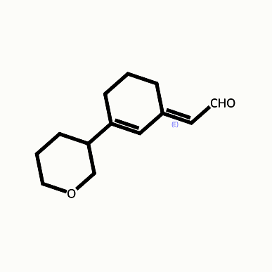 O=C/C=C1/C=C(C2CCCOC2)CCC1